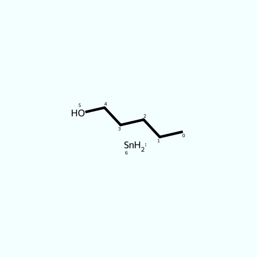 CCCCCO.[SnH2]